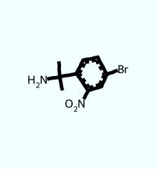 CC(C)(N)c1ccc(Br)cc1[N+](=O)[O-]